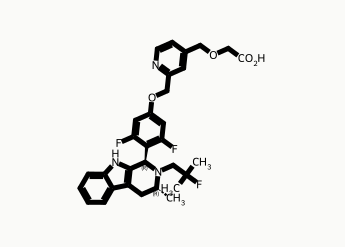 C[C@@H]1Cc2c([nH]c3ccccc23)[C@@H](c2c(F)cc(OCc3cc(COCC(=O)O)ccn3)cc2F)N1CC(C)(C)F